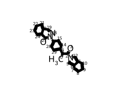 CC(C(=O)n1cc2ccccc2c1)c1ccc(-n2ncc3ccccc3c2=O)cc1